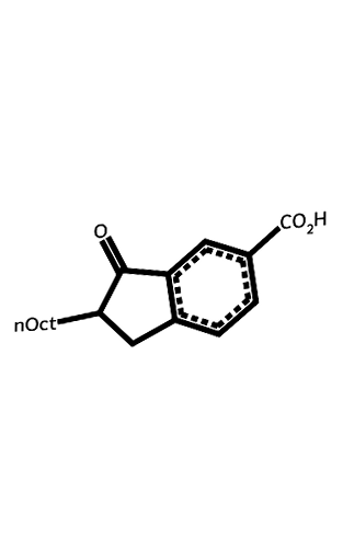 CCCCCCCCC1Cc2ccc(C(=O)O)cc2C1=O